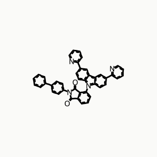 O=C1c2cccc(-n3c4ccc(-c5ccccn5)cc4c4cc(-c5ccccn5)ccc43)c2C(=O)N1c1ccc(-c2ccccc2)cc1